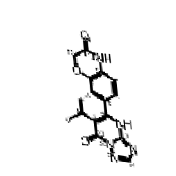 CC(C)c1c(-c2ccc3c(c2)OCC(=O)N3)[nH]c2ncnn2c1=O